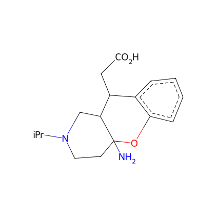 CC(C)N1CCC2(N)Oc3ccccc3C(CC(=O)O)C2C1